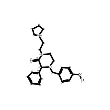 CCOc1ccc(CN2CCN(CCN3CCCC3)C(=O)C2c2ccccc2)cc1